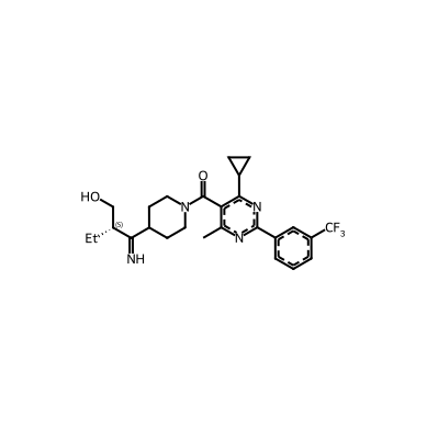 CC[C@H](CO)C(=N)C1CCN(C(=O)c2c(C)nc(-c3cccc(C(F)(F)F)c3)nc2C2CC2)CC1